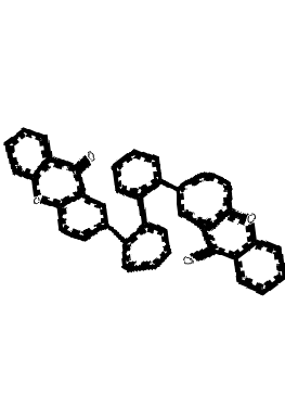 O=c1c2ccccc2oc2ccc(-c3ccccc3-c3ccccc3-c3ccc4oc5ccccc5c(=O)c4c3)cc12